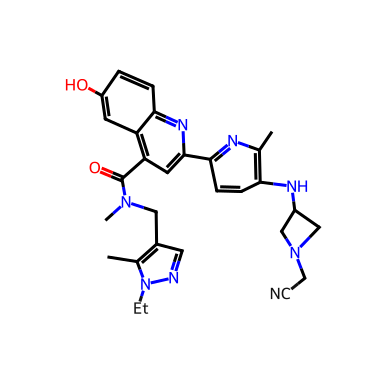 CCn1ncc(CN(C)C(=O)c2cc(-c3ccc(NC4CN(CC#N)C4)c(C)n3)nc3ccc(O)cc23)c1C